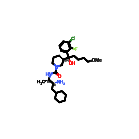 COCCCC[C@@](O)(c1cccc(Cl)c1F)[C@@H]1CCCN(C(=O)N[C@@H](C)[C@H](N)CC2CCCCC2)C1